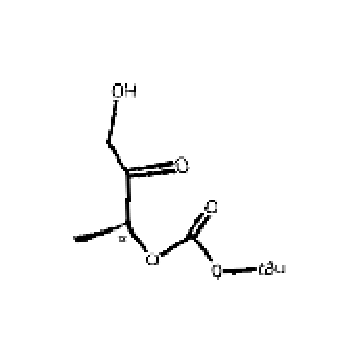 C[C@H](OC(=O)OC(C)(C)C)C(=O)CO